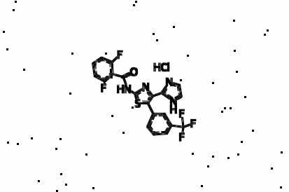 Cl.O=C(Nc1nc(-c2ncc[nH]2)c(-c2cccc(C(F)(F)F)c2)s1)c1c(F)cccc1F